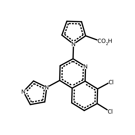 O=C(O)c1cccn1-c1cc(-n2ccnc2)c2ccc(Cl)c(Cl)c2n1